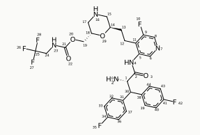 N[C@H](C(=O)Nc1cncc(F)c1CC[C@@H]1CNC[C@@H](COC(=O)NCC(F)(F)F)O1)C(c1ccc(F)cc1)c1ccc(F)cc1